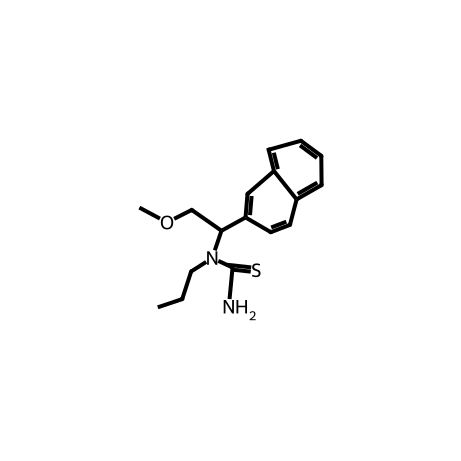 CCCN(C(N)=S)C(COC)c1ccc2ccccc2c1